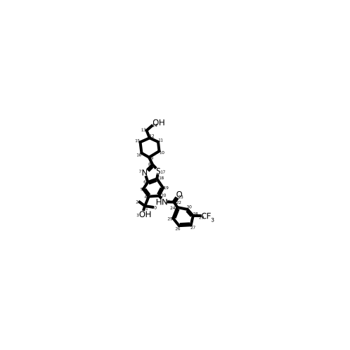 CC(C)(O)c1cc2nc(C3CCC(CO)CC3)sc2cc1NC(=O)c1cccc(C(F)(F)F)c1